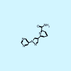 NC(=O)c1cccc(-c2cnn(-c3cncnc3)c2)n1